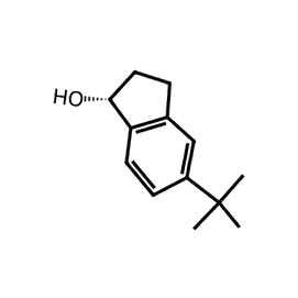 CC(C)(C)c1ccc2c(c1)CC[C@H]2O